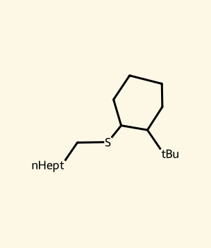 CCCCCCCCSC1CCCCC1C(C)(C)C